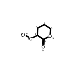 CCOC1CCCOC1=O